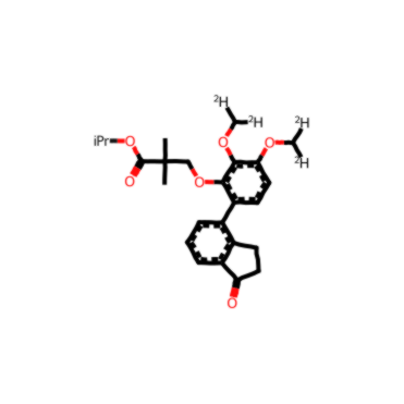 [2H]C([2H])Oc1ccc(-c2cccc3c2CCC3=O)c(OCC(C)(C)C(=O)OC(C)C)c1OC([2H])[2H]